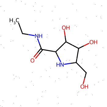 CCNC(=O)C1NC(CO)C(O)C1O